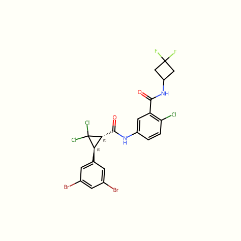 O=C(NC1CC(F)(F)C1)c1cc(NC(=O)[C@@H]2[C@@H](c3cc(Br)cc(Br)c3)C2(Cl)Cl)ccc1Cl